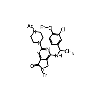 CCOc1ccc(C(C)Nc2nc(N3CCN(C(C)=O)CC3)nc3c2CN(C(C)C)C3=O)cc1Cl